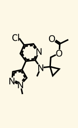 CC(=O)OCC1(N(C)c2ncc(Cl)cc2-c2cnn(C)c2)CC1